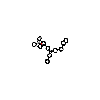 c1ccc(-c2ccc(N(c3ccc(-c4ccc(-c5ccccc5-n5c6ccccc6c6ccccc65)cc4)cc3)c3ccc(-c4cccc(-c5ccc6ccccc6c5)c4)cc3)cc2)cc1